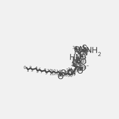 CCCCCCCCCCCCCCCC(=O)OCc1cc[n+](CC2=C(C(=O)[O-])N3C(=O)C(NC(=O)C(=NOC)c4nsc(N)n4)[C@@H]3SC2)cc1